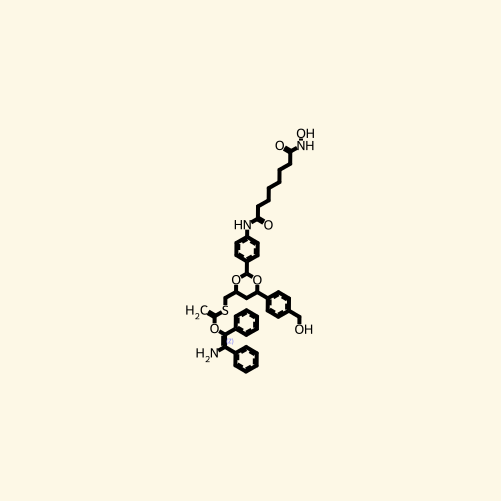 C=C(O/C(=C(\N)c1ccccc1)c1ccccc1)SCC1CC(c2ccc(CO)cc2)OC(c2ccc(NC(=O)CCCCCCC(=O)NO)cc2)O1